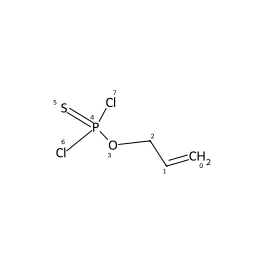 C=CCOP(=S)(Cl)Cl